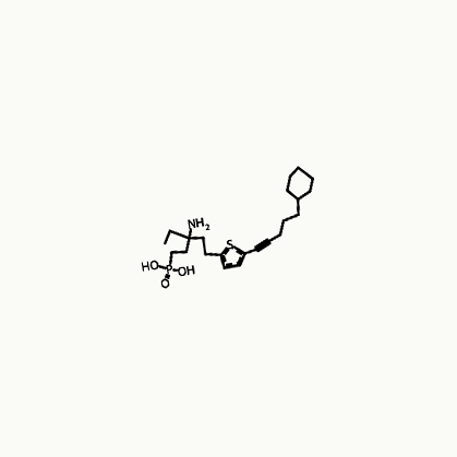 CCC(N)(CCc1ccc(C#CCCCC2CCCCC2)s1)CCP(=O)(O)O